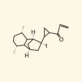 C=CC(=O)C1CC1[C@@]1(I)C[C@@H]2C[C@H]1C1C2[C@H](C)CC[C@@H]1C